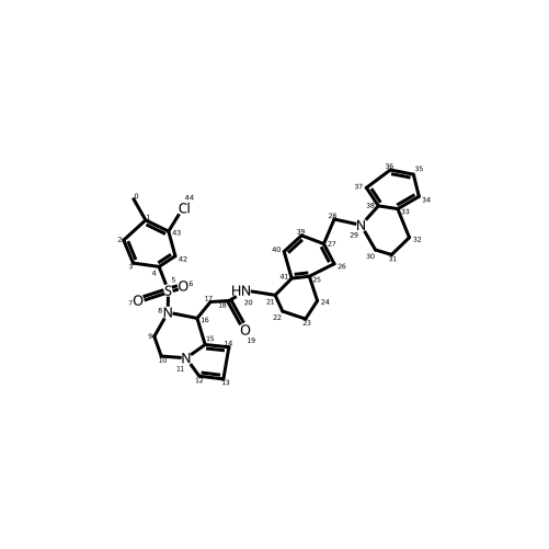 Cc1ccc(S(=O)(=O)N2CCn3cccc3C2CC(=O)NC2CCCc3cc(CN4CCCc5ccccc54)ccc32)cc1Cl